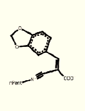 CCCCC[N+]#CC(=Cc1ccc2c(c1)OCO2)C(=O)[O-]